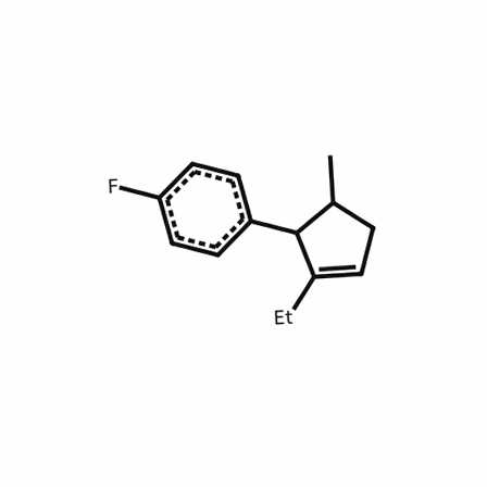 CCC1=CCC(C)C1c1ccc(F)cc1